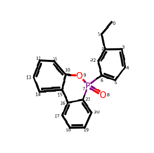 CCc1cccc(P2(=O)Oc3ccccc3-c3ccccc32)c1